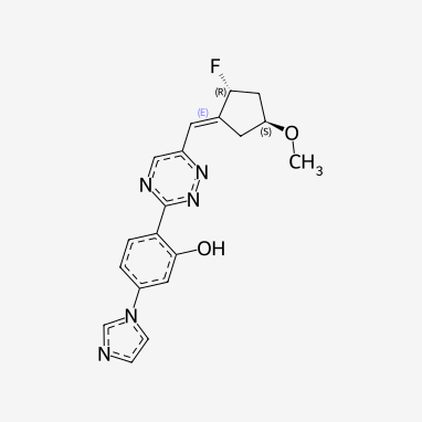 CO[C@H]1C/C(=C\c2cnc(-c3ccc(-n4ccnc4)cc3O)nn2)[C@H](F)C1